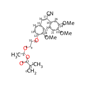 C=C(C)C(=O)OC(C)OCCOc1ccc(C=C(C#N)c2ccc(OC)c(OC)c2)cc1OC